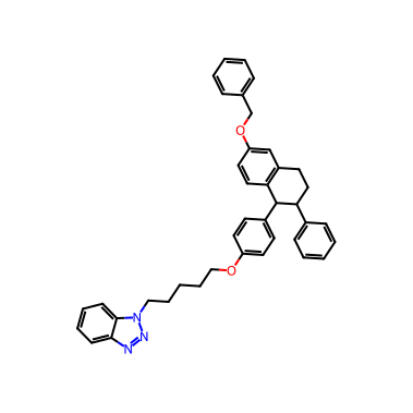 c1ccc(COc2ccc3c(c2)CCC(c2ccccc2)C3c2ccc(OCCCCCn3nnc4ccccc43)cc2)cc1